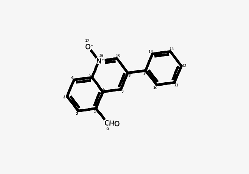 O=Cc1cccc2c1cc(-c1ccccc1)c[n+]2[O-]